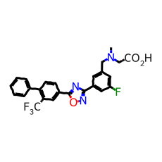 CN(CC(=O)O)Cc1cc(F)cc(-c2noc(-c3ccc(-c4ccccc4)c(C(F)(F)F)c3)n2)c1